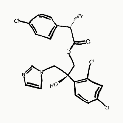 CC(C)[C@H](C(=O)OC[C@@](O)(Cn1ccnc1)c1ccc(Cl)cc1Cl)c1ccc(Cl)cc1